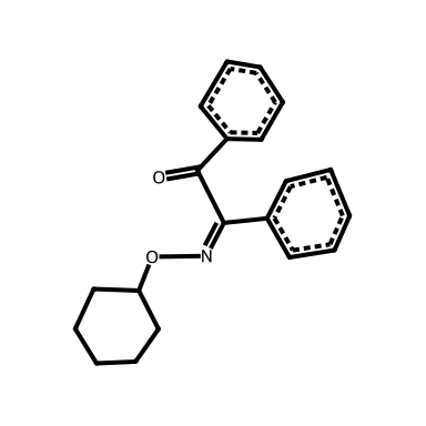 O=C(C(=NOC1CCCCC1)c1ccccc1)c1ccccc1